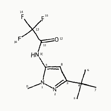 Cn1nc(C(C)(C)C)cc1NC(=O)C(F)(F)F